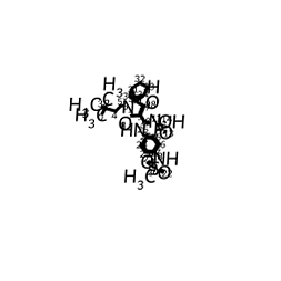 CC(C)(C)CCN1C(=O)C(C2=NP(=O)(O)c3cc(NS(C)(=O)=O)ccc3N2)=C(O)C12CC1CCC2C1